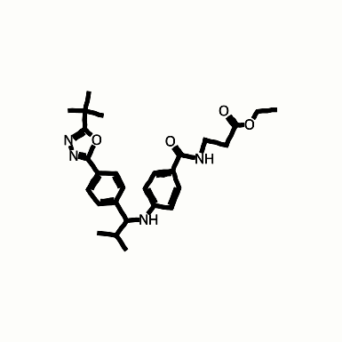 CCOC(=O)CCNC(=O)c1ccc(NC(c2ccc(-c3nnc(C(C)(C)C)o3)cc2)C(C)C)cc1